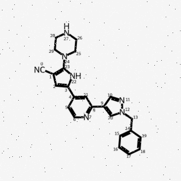 N#Cc1cc(-c2ccnc(-c3cnn(Cc4ccccc4)c3)c2)[nH]c1N1CCNCC1